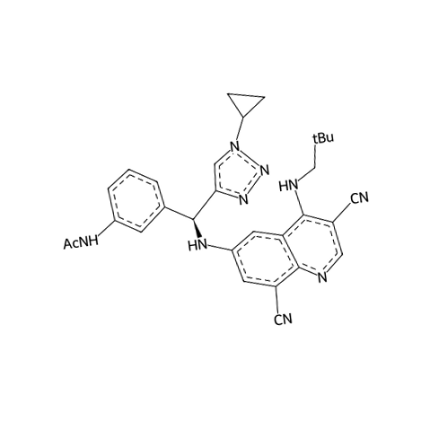 CC(=O)Nc1cccc([C@H](Nc2cc(C#N)c3ncc(C#N)c(NCC(C)(C)C)c3c2)c2cn(C3CC3)nn2)c1